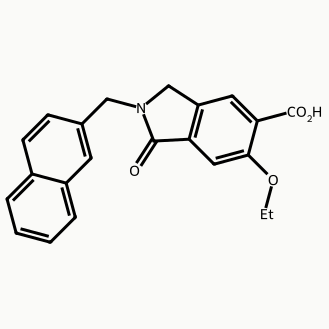 CCOc1cc2c(cc1C(=O)O)CN(Cc1ccc3ccccc3c1)C2=O